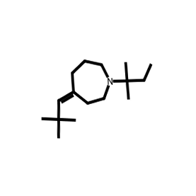 CCC(C)(C)N1CCC/C(=C/C(C)(C)C)CC1